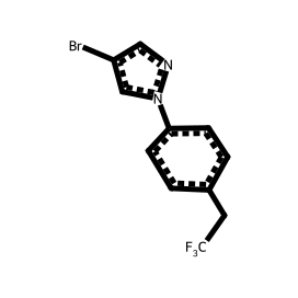 FC(F)(F)Cc1ccc(-n2cc(Br)cn2)cc1